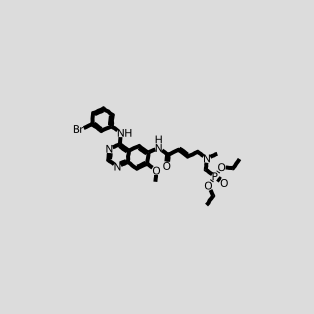 CCOP(=O)(CN(C)CC=CC(=O)Nc1cc2c(Nc3cccc(Br)c3)ncnc2cc1OC)OCC